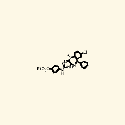 CCOC(=O)c1ccc(NC(=O)NC2N=C(c3ccccc3)c3cc(Cl)ccc3N(C)C2=O)cc1